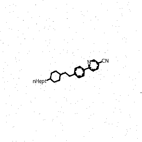 CCCCCCCC1CCC(CCc2ccc(-c3ccc(C#N)cn3)cc2)CC1